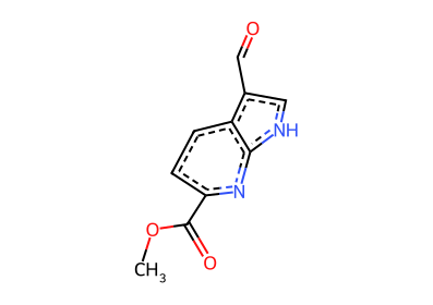 COC(=O)c1ccc2c(C=O)c[nH]c2n1